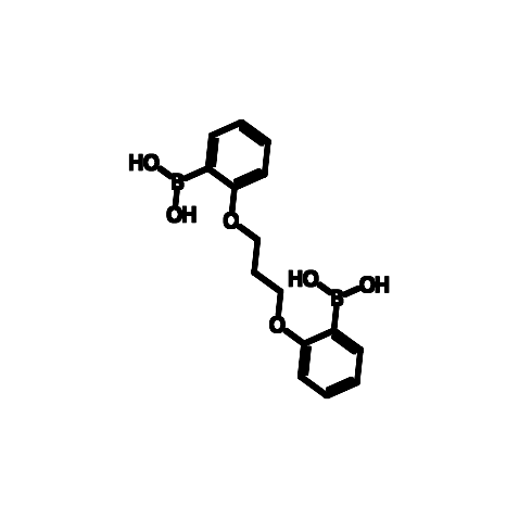 OB(O)c1ccccc1OCCCOc1ccccc1B(O)O